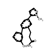 Cn1nccc1-c1ccc(-c2cccc(O)c2)c(CCC(N)=O)c1